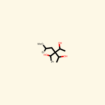 CCC(CC(C(C)O)(C(C)O)C(O)C(C)C)OC